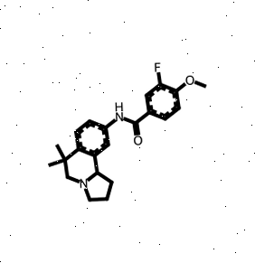 COc1ccc(C(=O)Nc2ccc3c(c2)C2CCCN2CC3(C)C)cc1F